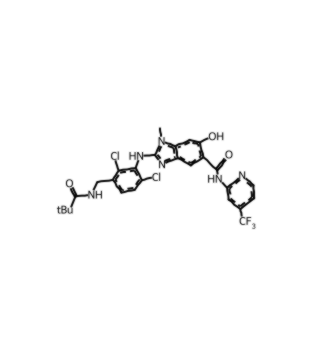 Cn1c(Nc2c(Cl)ccc(CNC(=O)C(C)(C)C)c2Cl)nc2cc(C(=O)Nc3cc(C(F)(F)F)ccn3)c(O)cc21